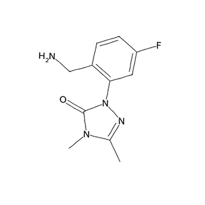 Cc1nn(-c2cc(F)ccc2CN)c(=O)n1C